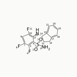 NS(=O)(=O)c1c(F)c(F)cc(F)c1N[C@H]1CCc2ccccc21